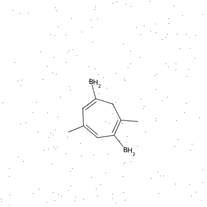 BC1=CC(C)=CC(B)=C(C)C1